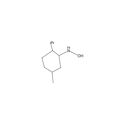 CC1CCC(C(C)C)C(NO)C1